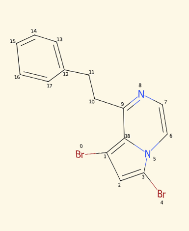 Brc1cc(Br)n2ccnc(CCc3ccccc3)c12